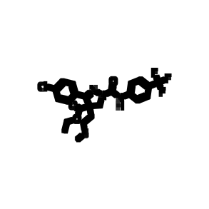 CCOC(=O)C1(CCSC)CN(C(=O)Nc2ccc(C(F)(F)F)cc2)N=C1c1ccc(Cl)cc1